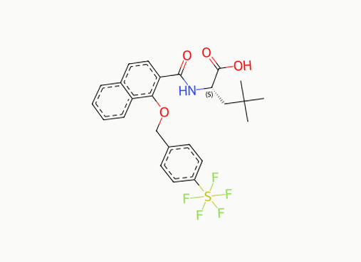 CC(C)(C)C[C@H](NC(=O)c1ccc2ccccc2c1OCc1ccc(S(F)(F)(F)(F)F)cc1)C(=O)O